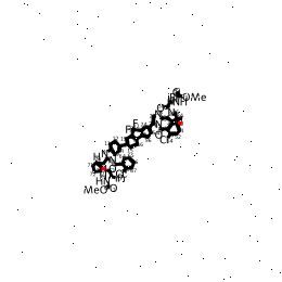 COC(=O)NC(CN1C(c2nc3ccc(-c4ccc5c(c4)C(F)(F)c4cc(-c6cnc(C7CC8(CC8)CN7C(=O)C(NC(=O)OC)C(C)C)n6C(=O)c6ccccc6Cl)ccc4-5)cc3n2C(=O)c2ccccc2Cl)[C@H]2CC[C@@H]1C2)C(C)C